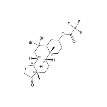 C[C@]12CCC(OC(=O)C(F)(F)F)CC1C(Br)(Br)C[C@@H]1[C@H]2CC[C@]2(C)C(=O)CC[C@@H]12